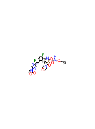 C[C@]1(c2cc(/C=C(\F)c3cnc(N4CCOC4=O)cn3)ccc2F)N=C(OC(=O)NCOCC[Si](C)(C)C)S[C@@]2(C(=O)N3CCOCC3)C[C@H]21